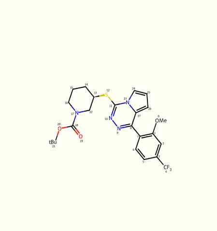 COc1cc(C(F)(F)F)ccc1-c1nnc(S[C@@H]2CCCN(C(=O)OC(C)(C)C)C2)n2cccc12